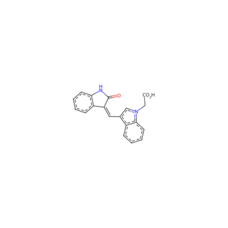 O=C(O)Cn1cc(/C=C2\C(=O)Nc3ccccc32)c2ccccc21